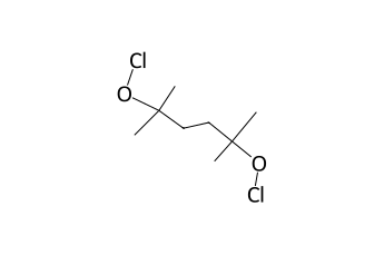 CC(C)(CCC(C)(C)OCl)OCl